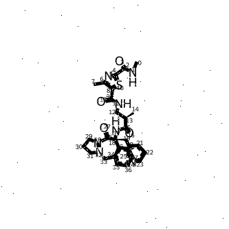 CNC(=O)c1nc(C)c(C(=O)NC[C@@H](C)C(=O)N[C@@]2(Cc3cccnc3)C(=O)N3CCCN3Cc3ccccc32)s1